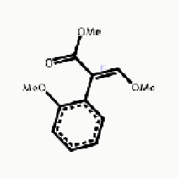 CO/C=C(/C(=O)OC)c1ccccc1OC